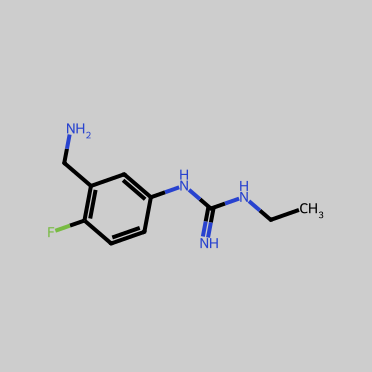 CCNC(=N)Nc1ccc(F)c(CN)c1